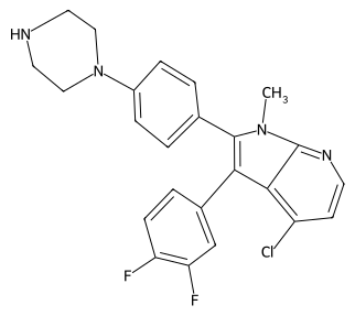 Cn1c(-c2ccc(N3CCNCC3)cc2)c(-c2ccc(F)c(F)c2)c2c(Cl)ccnc21